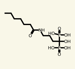 CCCCCCC(=O)NCCCC(O)(P(=O)(O)O)P(=O)(O)O